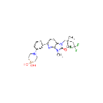 Cn1c(=O)n(CC(C)(C)CC(F)(F)F)c2ccc(-c3cccc(N4CCS(O)(O)CC4)c3)nc21